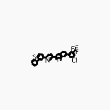 FC(F)(F)c1cc(Cl)cc(-c2ccc3cc(-c4ccc(-c5ccc6sc7ccccc7c6c5)nc4)cnc3c2)c1